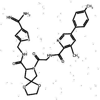 Cc1ccc(-c2cnc(C(=O)NCC(=O)N3CC4(CC3C(=O)NCc3cc(C(=N)N)cs3)OCCO4)c(C)c2)cc1